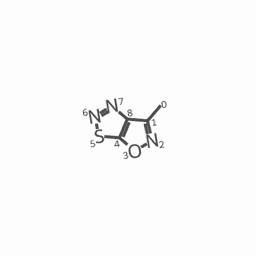 Cc1noc2snnc12